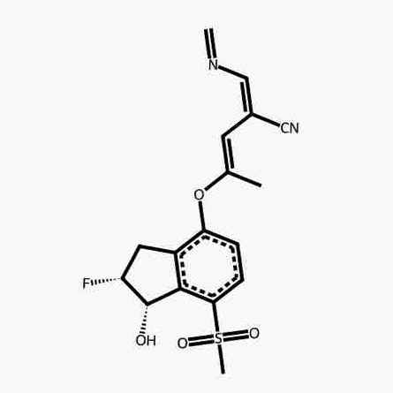 C=N/C=C(C#N)\C=C(/C)Oc1ccc(S(C)(=O)=O)c2c1C[C@@H](F)[C@H]2O